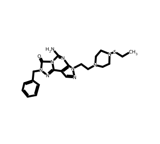 CCSN1CCN(CCn2ncc3c2nc(N)n2c(=O)n(Cc4ccccc4)nc32)CC1